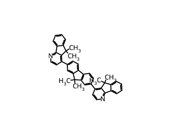 CC1(C)c2cc(-c3ccnc4c3C(C)(C)c3ccccc3-4)ccc2-c2ccc(-c3ccnc4c3C(C)(C)c3ccccc3-4)cc21